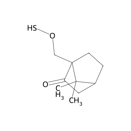 CC1(C)C2CCC1(COS)C(=O)C2